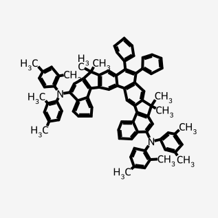 Cc1cc(C)cc(N(c2ccc(C)cc2C)c2cc3c(c4ccccc24)-c2cc4c(cc2C3(C)C)c(-c2ccccc2)c(-c2ccccc2)c2cc3c(cc24)-c2c(cc(N(c4ccc(C)cc4C)c4ccc(C)cc4C)c4ccccc24)C3(C)C)c1